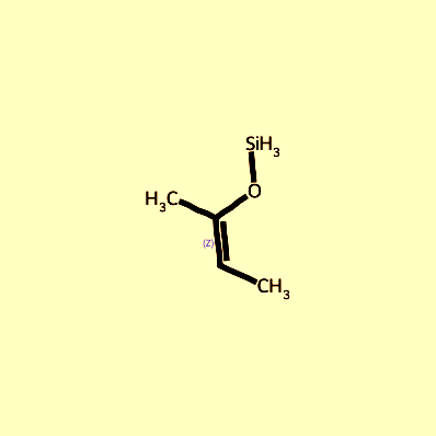 C/C=C(/C)O[SiH3]